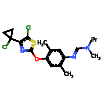 Cc1cc(Oc2nc(C3(Cl)CC3)c(Cl)s2)c(C)cc1N=CN(C)C(C)C